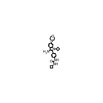 Nc1c(-c2ccc(NC(=O)NC3CCC3)cc2)n(C2CCC2)c2cc(N3CCOCC3)ccc12